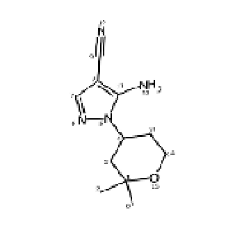 CC1(C)CC(n2ncc(C#N)c2N)CCO1